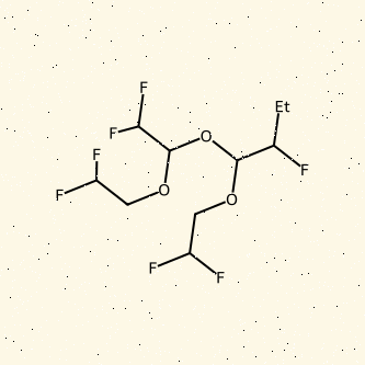 CCC(F)C(OCC(F)F)OC(OCC(F)F)C(F)F